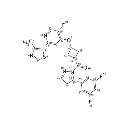 Cc1ncsc1-c1cc(OC2CN(C(=O)N3N=CC[C@H]3c3cc(F)cc(F)c3)C2)c(F)cn1